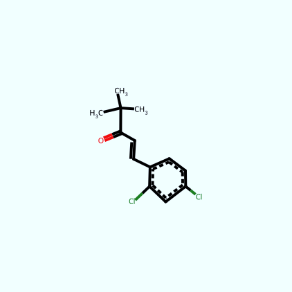 CC(C)(C)C(=O)C=Cc1ccc(Cl)cc1Cl